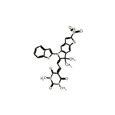 CN1C(=O)C(=C/C=C2/N(c3cc4ccccc4s3)c3cc4cc([SH](=O)=O)sc4cc3C2(C)C)C(=O)N(C)C1=O